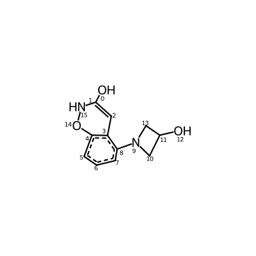 OC1=Cc2c(cccc2N2CC(O)C2)ON1